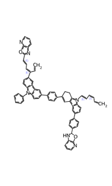 C=C/C=C\C=C\n1c2c(c3cc(-c4ccc(C5Nc6cccnc6O5)cc4)ccc31)C=C(c1ccc(-c3ccc4c(c3)c3cc(/C(C=C)=C/C=C/c5nc6cccnc6o5)ccc3n4-c3ccccc3)cc1)CC2